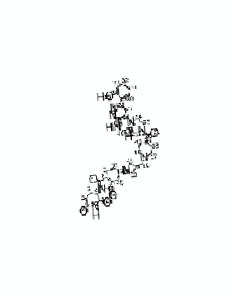 O=C1CCC(N2C(=O)c3ccc(N4CC(CN5CCC(C(=O)N6CCN7c8cc(-c9ccccc9O)nnc8NC[C@H]7C6)CC5)C4)cc3C2=O)C(=O)N1